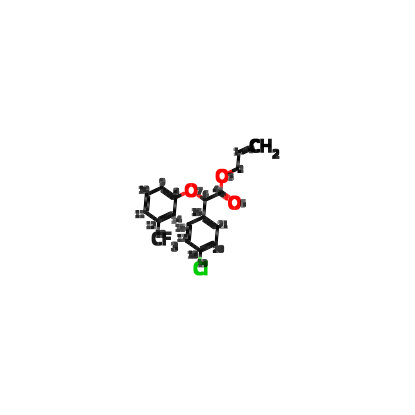 C=CCOC(=O)C(Oc1cccc(C(F)(F)F)c1)c1ccc(Cl)cc1